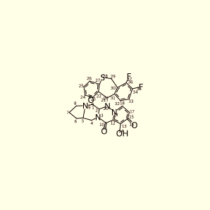 O=C1C2N(CC3CCCN13)C(=O)c1c(O)c(=O)ccn1N2[C@@H]1c2ccccc2SCc2c1ccc(F)c2F